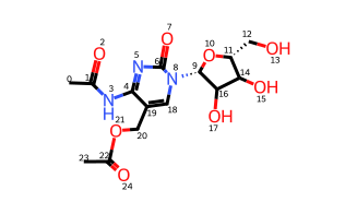 CC(=O)Nc1nc(=O)n([C@@H]2O[C@H](CO)C(O)C2O)cc1COC(C)=O